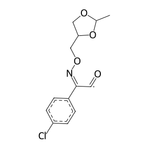 CC1OCC(CON=C([C]=O)c2ccc(Cl)cc2)O1